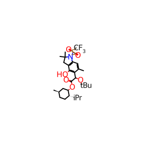 Cc1cc2c(c(O)c1C(OC(C)(C)C)C(=O)O[C@@H]1C[C@H](C)CC[C@H]1C(C)C)CC(C)(C)N2S(=O)(=O)C(F)(F)F